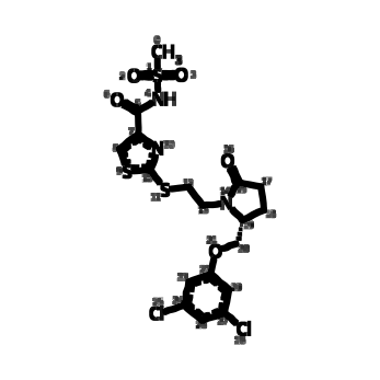 CS(=O)(=O)NC(=O)c1csc(SCCN2C(=O)CC[C@@H]2COc2cc(Cl)cc(Cl)c2)n1